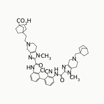 Cn1c(C(=O)Nc2cccc(-c3cccc(NC(=O)c4nc5c(n4C)CCN(CC46CCC(CC4)C6)C5)c3C#N)c2Cl)nc2c1CCN(CCC13CCC(C(=O)O)(CC1)C3)C2